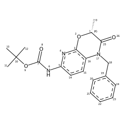 C[C@H]1Oc2nc(NC(=O)OC(C)(C)C)ccc2N(Cc2ccccc2)C1=O